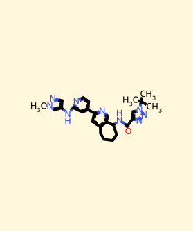 Cn1cc(Nc2cc(-c3cc4c(cn3)C(NC(=O)c3cn(C(C)(C)C)nn3)CCCC4)ccn2)cn1